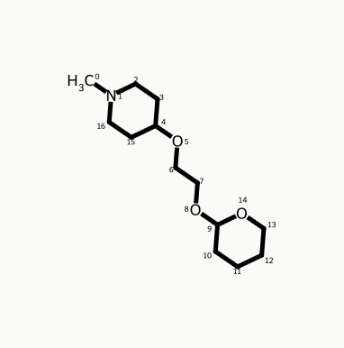 CN1CCC(OCCOC2CCCCO2)CC1